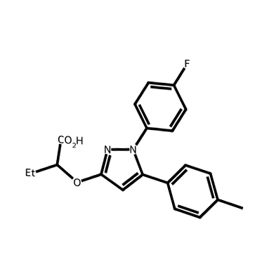 CCC(Oc1cc(-c2ccc(C)cc2)n(-c2ccc(F)cc2)n1)C(=O)O